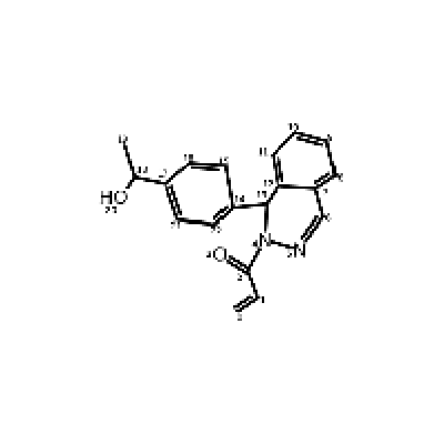 C=CC(=O)N1N=Cc2ccccc2C1c1ccc(C(C)O)cc1